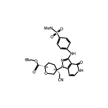 CNS(=O)(=O)c1ccc(Nc2nn([C@]3(CC#N)CC[C@@H](C(=O)OC(C)(C)C)OC3)c3cc[nH]c(=O)c23)cc1